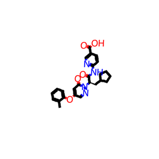 Cc1ccccc1Oc1cnn([C@H](CC2CCCC2)C(=O)Nc2ccc(C(=O)O)cn2)c(=O)c1